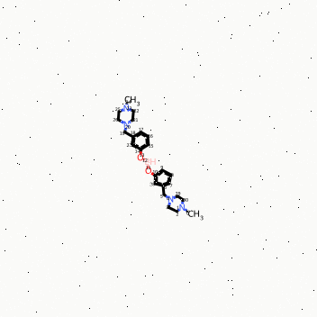 CN1CCN(Cc2cccc(OBOc3cccc(CN4CCN(C)CC4)c3)c2)CC1